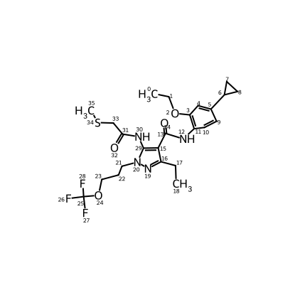 CCOc1cc(C2CC2)ccc1NC(=O)c1c(CC)nn(CCCOC(F)(F)F)c1NC(=O)CSC